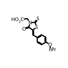 CCCOc1ccc(/C=C2\SC(=S)N(CC(=O)O)C2=O)cc1